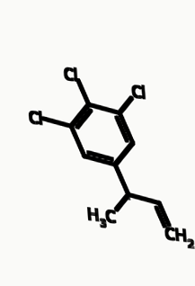 C=C[C](C)c1cc(Cl)c(Cl)c(Cl)c1